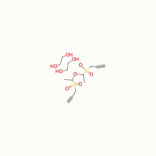 C#CCS(=O)(=O)C(C)OC(C)S(=O)(=O)CC#C.OCCO.OCCO